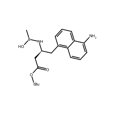 CB(O)N[C@H](CC(=O)OC(C)(C)C)Cc1cccc2c(N)cccc12